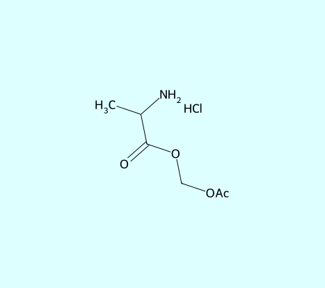 CC(=O)OCOC(=O)C(C)N.Cl